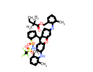 CCC(C)(C)C(=O)OCc1cccc(C)c1/N=c1\ccc2c(-c3ccccc3S(=O)(=O)NS(=O)(=O)C(F)(F)F)c3ccc(Nc4c(C)cccc4C)cc3oc-2c1